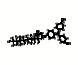 O=S(=O)([O-])C(F)(F)C(F)(F)C(F)(F)C(F)(F)C(F)(F)C(F)(F)C(F)(F)C(F)(F)F.Oc1ccc([S+](c2ccc(O)cc2)c2ccc(O)cc2)cc1